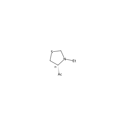 CCN1CSC[C@H]1C(C)=O